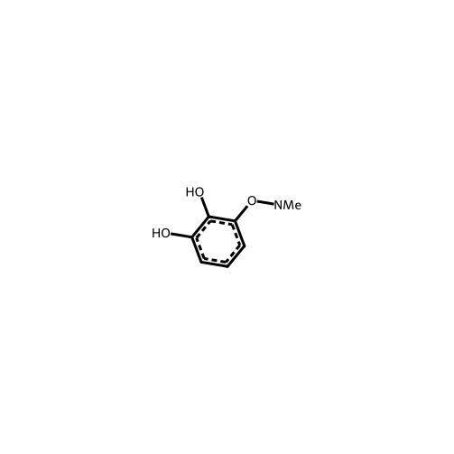 CNOc1cccc(O)c1O